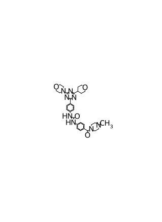 CN1CCN(C(=O)c2ccc(NC(=O)Nc3ccc(-c4nc(C5CCOCC5)nc(N5CCOCC5)n4)cc3)cc2)CC1